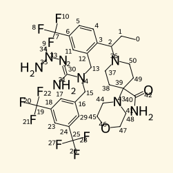 CCC(c1ccc(C(F)(F)F)cc1CN(Cc1cc(C(F)(F)F)cc(C(F)(F)F)c1)/C(N)=N/N(C)N)N1CCC(C(N)=O)(N2CCOCC2)CC1